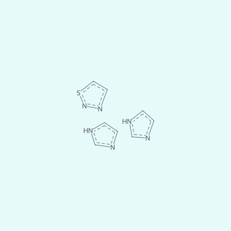 c1c[nH]cn1.c1c[nH]cn1.c1csnn1